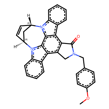 COc1ccc(CN2Cc3c(c4c5ccccc5n5c4c4c3c3ccccc3n4[C@H]3C=C[C@H]5C3)C2=O)cc1